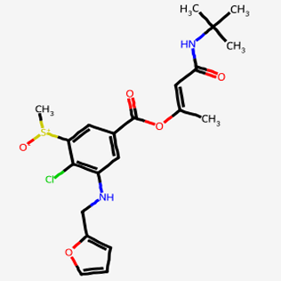 CC(=CC(=O)NC(C)(C)C)OC(=O)c1cc(NCc2ccco2)c(Cl)c([S+](C)[O-])c1